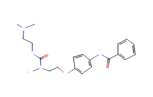 CC(C)N(CCOc1ccc(NC(=O)c2ccccc2)cc1)C(=O)NCCN(C)C